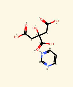 O=C(O)CC(O)(CC(=O)O)C(=O)O.c1cncnc1